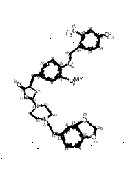 COc1cc(/C=C2\SC(N3CCN(Cc4ccc5c(c4)OCO5)CC3)=NC2=O)ccc1OCc1ccc(C(F)(F)F)cc1C(F)(F)F